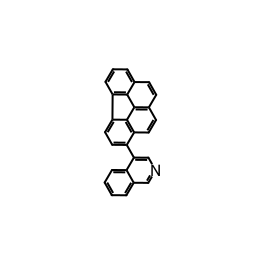 c1ccc2c(-c3ccc4c5c3ccc3ccc6cccc-4c6c35)cncc2c1